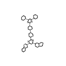 c1ccc(-c2cc(-c3ccccc3)nc(-c3ccc(-c4ccc(-c5nc(-c6ccc7ccccc7c6)cc(-c6ccc7ccccc7c6)n5)cc4)cc3)n2)cc1